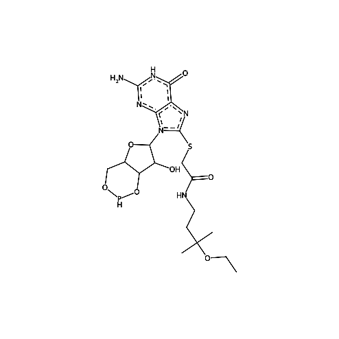 CCOC(C)(C)CCNC(=O)CSc1nc2c(=O)[nH]c(N)nc2n1C1OC2COPOC2C1O